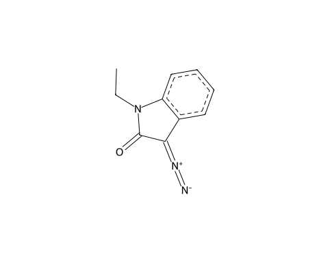 CCN1C(=O)C(=[N+]=[N-])c2ccccc21